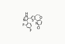 Fc1ccc(-c2nc[nH]c2-c2cc3c(s2)-c2nc(Cl)ccc2OCC3)c(F)c1